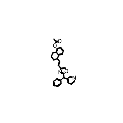 CC(=O)Oc1cccc2c1CCCC2C=Cc1coc(C(c2ccccc2)c2cccnc2)n1